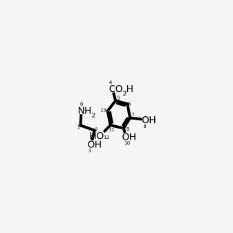 NCCO.O=C(O)c1cc(O)c(O)c(O)c1